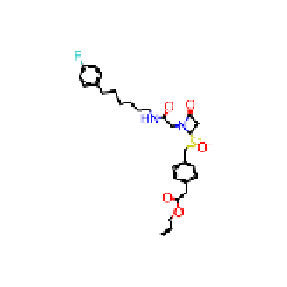 C=CCOC(=O)Cc1ccc(C[S+]([O-])C2CC(=O)N2CC(=O)NCCCCCCc2ccc(F)cc2)cc1